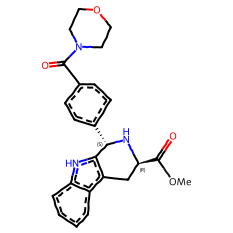 COC(=O)[C@H]1Cc2c([nH]c3ccccc23)[C@H](c2ccc(C(=O)N3CCOCC3)cc2)N1